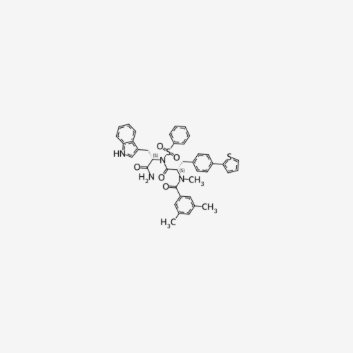 Cc1cc(C)cc(C(=O)N(C)[C@@H](Cc2ccc(-c3cccs3)cc2)C(=O)N([C@@H](Cc2c[nH]c3ccccc23)C(N)=O)S(=O)(=O)c2ccccc2)c1